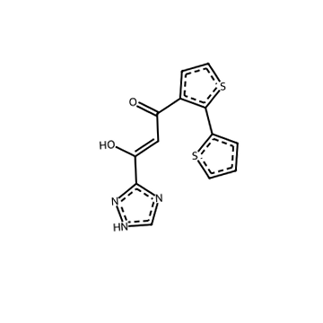 O=C(C=C(O)c1nc[nH]n1)c1ccsc1-c1cccs1